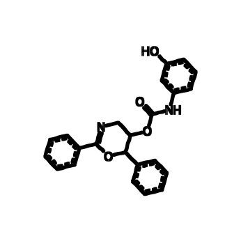 O=C(Nc1cccc(O)c1)OC1CN=C(c2ccccc2)OC1c1ccccc1